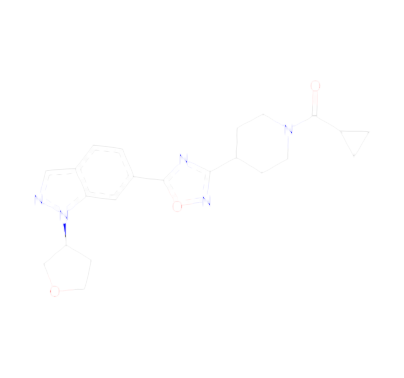 O=C(C1CC1)N1CCC(c2noc(-c3ccc4cnn([C@H]5CCOC5)c4c3)n2)CC1